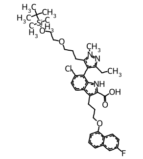 CCc1nn(C)c(CCCOCCO[Si](C)(C)C(C)(C)C)c1-c1c(Cl)ccc2c(CCCOc3cccc4cc(F)ccc34)c(C(=O)O)[nH]c12